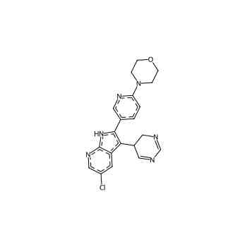 Clc1cnc2[nH]c(-c3ccc(N4CCOCC4)nc3)c(C3C=NC=NC3)c2c1